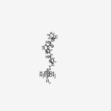 CC(C)(C)[Si](C)(C)OCCCn1ccc(NCc2cn3c(C(=O)NCC45CC6CC(CC(C6)C4)C5)cccc3n2)n1